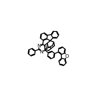 c1ccc(-c2nc(-c3cccc(-c4cccc5oc6ccccc6c45)c3)nc(-c3cccc4c3C3(c5ccccc5-4)C4CC5CC(C4)CC3C5)n2)cc1